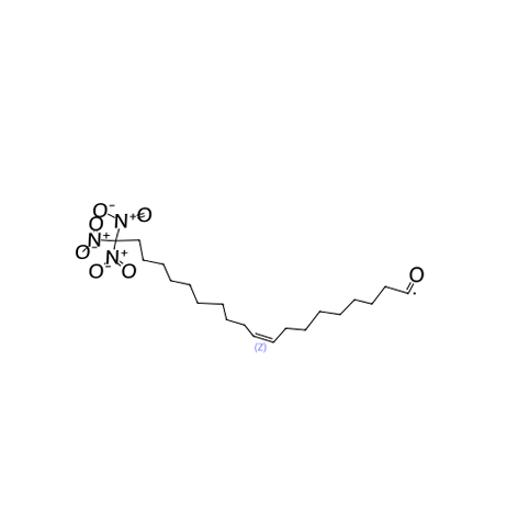 O=[C]CCCCCCC/C=C\CCCCCCCCCC([N+](=O)[O-])([N+](=O)[O-])[N+](=O)[O-]